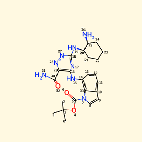 CC(C)(C)OC(=O)n1ccc2cccc(Nc3nc(N[C@@H]4CCCC[C@@H]4N)nnc3C(N)=O)c21